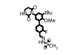 COc1c(-c2ccc(/C=N/NS(C)(=O)=O)c(F)c2)cc(N2C(=O)CCNC2=O)cc1C(C)(C)C